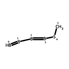 B=BB=BSC